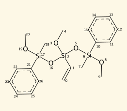 C=C[Si](OC)(O[Si](C)(OC)c1ccccc1)O[Si](C)(OC)c1ccccc1